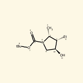 CC[C@H]1[C@@H](C)N(C(=O)OC(C)(C)C)C[C@@H]1O